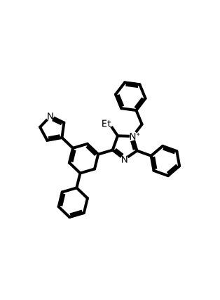 CCC1C(C2=CC(C3=CCN=C3)=CC(C3C=CC=CC3)C2)=NC(c2ccccc2)=[N+]1Cc1ccccc1